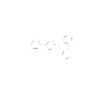 COc1cccc(-c2ccc(N3C4=CC=NCC4c4cnccc43)cc2C)c1